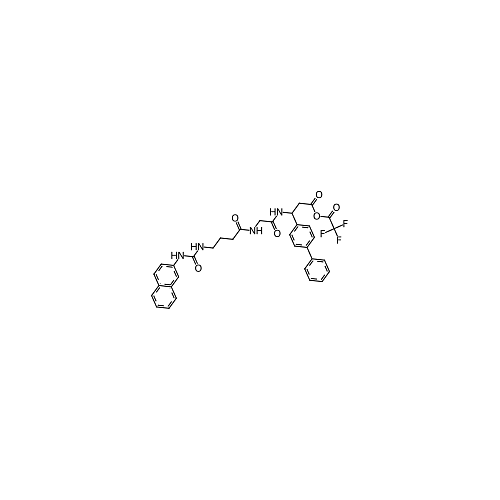 O=C(CCCNC(=O)Nc1ccc2ccccc2c1)NCC(=O)NC(CC(=O)OC(=O)C(F)(F)F)c1ccc(-c2ccccc2)cc1